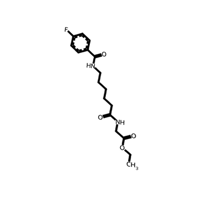 CCOC(=O)CNC(=O)CCCCCNC(=O)c1ccc(F)cc1